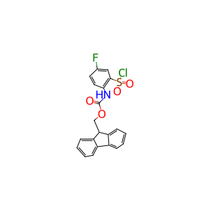 O=C(Nc1ccc(F)cc1S(=O)(=O)Cl)OCC1c2ccccc2-c2ccccc21